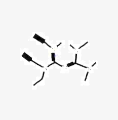 C#CN(CC)/C(N=C(N(C)C)N(C)C)=[N+](/C)C#C